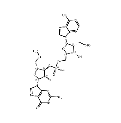 Nc1nc2c(ncn2[C@@H]2O[C@H](COP)[C@@H](O[P@](=O)(S)OC[C@H]3O[C@@H](n4cnc5c(N)ncnc54)[C@H](CC=O)[C@@H]3O)[C@H]2F)c(=O)[nH]1